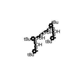 Cc1cc(C(C)(C)C)ccc1OCC(O)COc1cc(C(C)(C)C)ccc1OCC(O)COCOCC(O)COc1ccc(C(C)(C)C)cc1OCC(O)COc1ccc(C(C)(C)C)cc1C